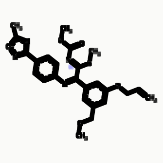 C=CCOc1cc(COC)cc(C(=Nc2ccc(-c3noc(C)n3)cc2)/C(=N/C(=O)OC)SC)c1